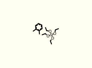 CCO[Si](OCC)(OCC)OCC.Cc1ccccc1C